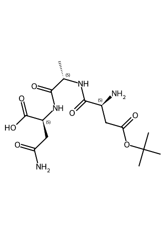 C[C@H](NC(=O)[C@@H](N)CC(=O)OC(C)(C)C)C(=O)N[C@@H](CC(N)=O)C(=O)O